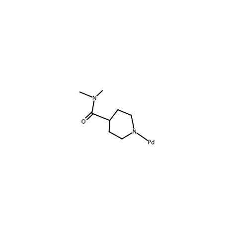 CN(C)C(=O)C1CC[N]([Pd])CC1